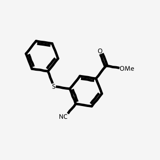 COC(=O)c1ccc(C#N)c(Sc2ccccc2)c1